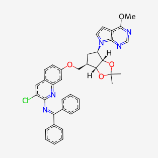 COc1ncnc2c1ccn2[C@@H]1C[C@H](COc2ccc3cc(Cl)c(N=C(c4ccccc4)c4ccccc4)nc3c2)[C@H]2OC(C)(C)O[C@H]21